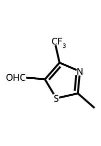 Cc1nc(C(F)(F)F)c(C=O)s1